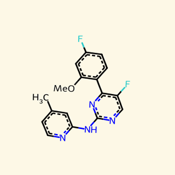 COc1cc(F)ccc1-c1nc(Nc2cc(C)ccn2)ncc1F